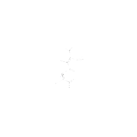 C=C(/C=C(/N)C(=C)C)/C(C)=C(\C=C/C)C(C)C